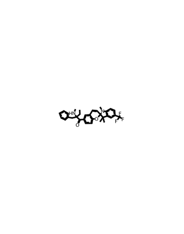 CCC(Cc1ccccc1)(NC)C(=O)c1ccc2c(c1)C=CC1(O2)N(C)c2ccc(C(F)(F)F)cc2C1(C)C